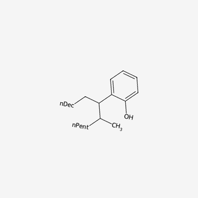 CCCCCCCCCCCC(c1ccccc1O)C(C)CCCCC